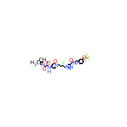 CC1(C)CN(C(=O)C(=O)Nc2ccn(CCC(F)Cn3cc(C(=O)NCc4cccc(OC(F)(F)F)c4)nn3)c(=O)c2F)C1